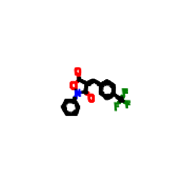 O=C1ON(c2ccccc2)C(=O)C1=Cc1ccc(C(F)(F)F)cc1